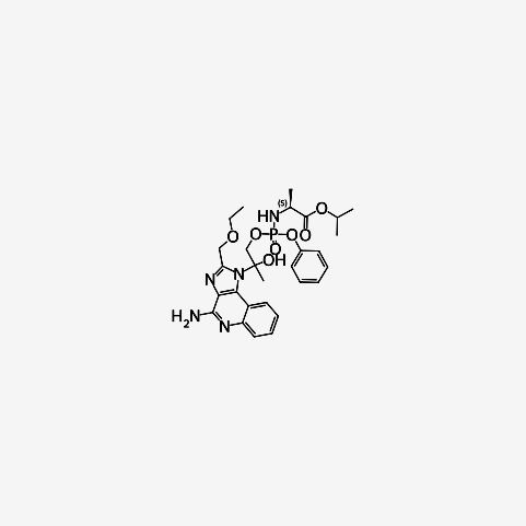 CCOCc1nc2c(N)nc3ccccc3c2n1C(C)(O)COP(=O)(N[C@@H](C)C(=O)OC(C)C)Oc1ccccc1